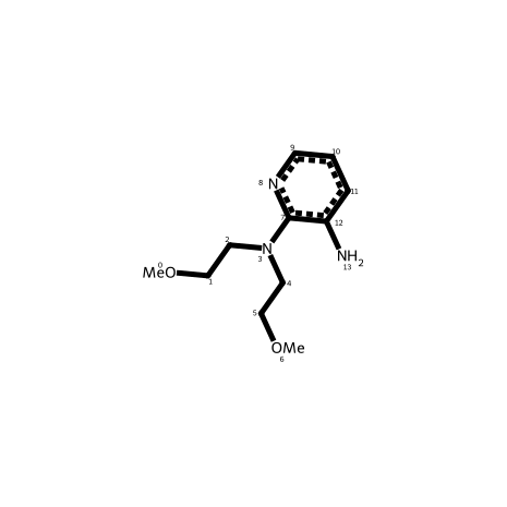 COCCN(CCOC)c1ncccc1N